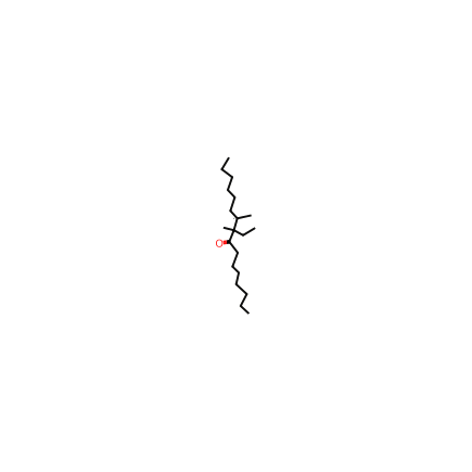 CCCCCCCC(=O)C(C)(CC)[C](C)CCCCCC